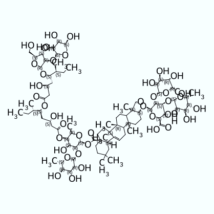 CC[C@H](C)[C@H](C[C@H](O)CC(=O)O[C@@H]1[C@H](O)[C@@H](O[C@@H]2O[C@@H](C)[C@H](O)[C@@H](O)[C@H]2O)[C@H](OC(=O)[C@]23CCC(C)(C)C[C@H]2C2=CCC4[C@@]5(C)CC[C@H](O[C@@H]6O[C@H](C(=O)O)[C@@H](O)[C@H](O[C@@H]7O[C@@H](C)[C@H](O)[C@@H](O)[C@H]7O)[C@H]6O[C@@H]6O[C@H](CO)[C@H](O)[C@H](O)[C@H]6O)[C@@](C)(C=O)C5CC[C@@]4(C)[C@]2(C)CC3)O[C@@H]1C)OC(=O)C[C@@H](O)C[C@H](O[C@@H]1O[C@@H](CO)[C@H](O)[C@H]1O[C@@H]1OC[C@H](O)[C@@H](O)[C@H]1O)[C@@H](C)CC